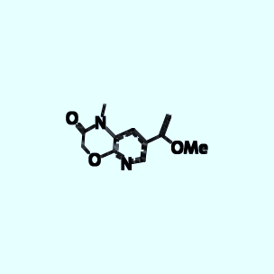 C=C(OC)c1cnc2c(c1)N(C)C(=O)CO2